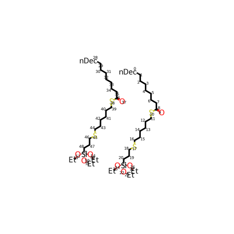 CCCCCCCCCCCCCCCCCC(=O)SCCCCCCSCCC[Si](OCC)(OCC)OCC.CCCCCCCCCCCCCCCCCC(=O)SCCCCCCSCCC[Si](OCC)(OCC)OCC